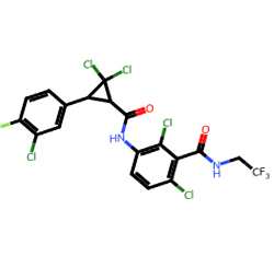 O=C(NCC(F)(F)F)c1c(Cl)ccc(NC(=O)C2C(c3ccc(F)c(Cl)c3)C2(Cl)Cl)c1Cl